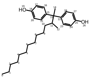 CCCCCCCCCCCC(C)C(C)(c1ccc(O)cc1)c1ccc(O)cc1